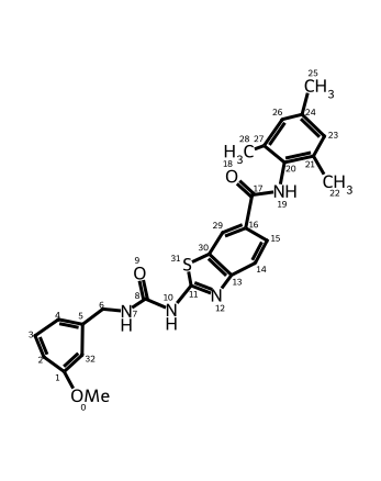 COc1cccc(CNC(=O)Nc2nc3ccc(C(=O)Nc4c(C)cc(C)cc4C)cc3s2)c1